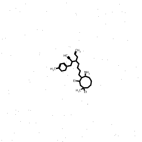 C#CC(CC1=CC=C(C)CC1)C(CC=C)CCCCC1C(N)CCCCC(C)(CC)CC1CC